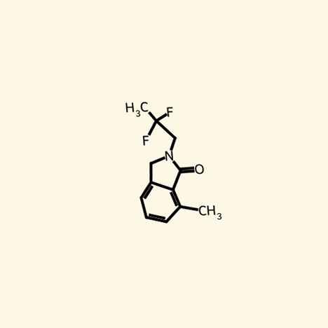 Cc1cccc2c1C(=O)N(CC(C)(F)F)C2